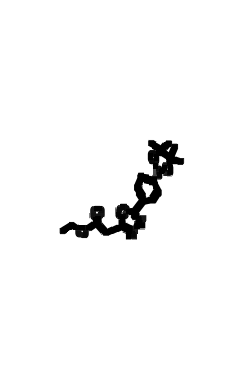 CCOC(=O)Cc1nnc(-c2ccc(B3OC(C)(C)C(C)(C)O3)cc2)o1